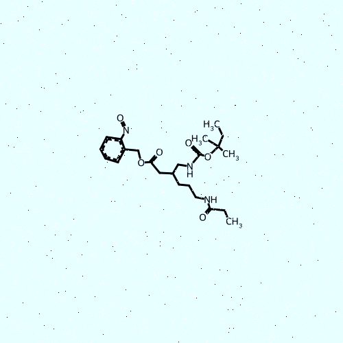 CCC(=O)NCCCC(CNC(=O)OC(C)(C)CC)CC(=O)OCc1ccccc1N=O